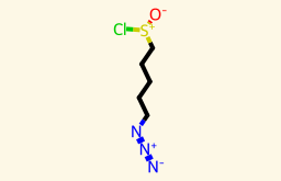 [N-]=[N+]=NCCCCC[S+]([O-])Cl